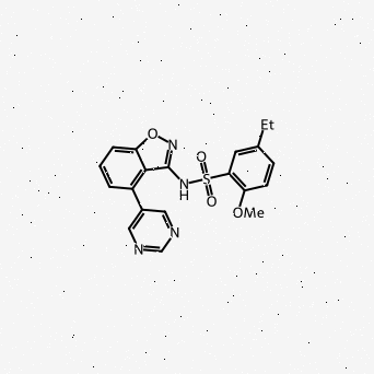 CCc1ccc(OC)c(S(=O)(=O)Nc2noc3cccc(-c4cncnc4)c23)c1